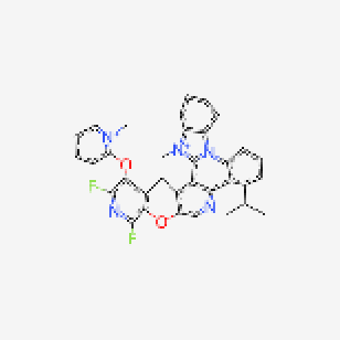 CC(C)c1cccc2c1c1ncc3c(c1c1n2c2ccccc2[n+]1C)Cc1c(c(F)nc(F)c1Oc1cccc[n+]1C)O3